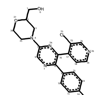 OCC1CN(c2cnc(-c3ccc(Cl)cc3)c(-c3ccncc3Cl)n2)CCO1